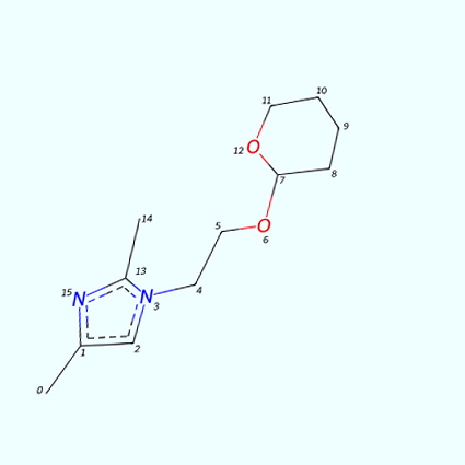 Cc1cn(CCOC2CCCCO2)c(C)n1